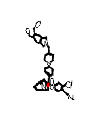 N#Cc1ccc(OC2CC3CCC(C2)N3C(=O)c2ccc(N3CCC(CN4Cc5cc(C=O)c(C=O)cc5C4)CC3)cc2)cc1Cl